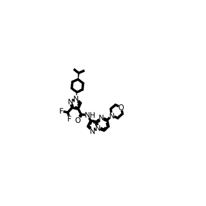 CC(C)[C@H]1CC[C@H](n2cc(C(=O)Nc3cnn4ccc(N5CCOCC5)nc34)c(C(F)F)n2)CC1